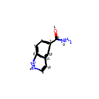 NC(=O)c1ccc2nnccc2c1